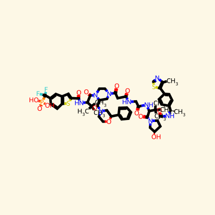 Cc1ncsc1-c1ccc([C@H](C)NC(=O)[C@@H]2C[C@@H](O)CN2C(=O)C(NC(=O)CNC(=O)CC(=O)N2CCN(C(=O)C(NC(=O)c3cc4cc(C(F)(F)P(=O)(O)O)ccc4s3)C(C)(C)C)C(C(=O)N3CCOC(c4ccccc4)C3)C2)C(C)(C)C)cc1